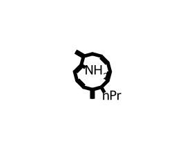 C=C1C/C=C\C=C/C(CCC)C(=C)/C=C\C=C\1N